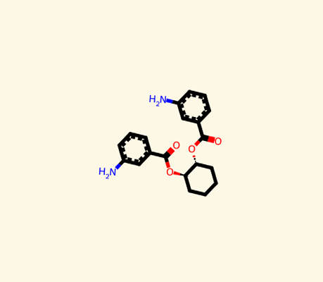 Nc1cccc(C(=O)O[C@@H]2CCCC[C@H]2OC(=O)c2cccc(N)c2)c1